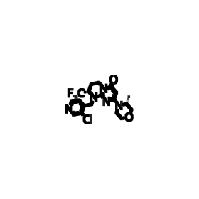 C[C@@H]1COCCN1c1cc(=O)n2c(n1)N(Cc1ccncc1Cl)[C@H](C(F)(F)F)CC2